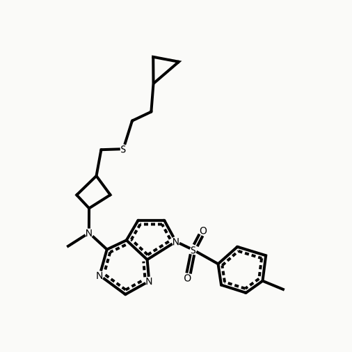 Cc1ccc(S(=O)(=O)n2ccc3c(N(C)C4CC(CSCCC5CC5)C4)ncnc32)cc1